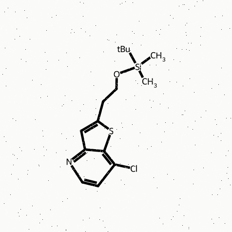 CC(C)(C)[Si](C)(C)OCCc1cc2nccc(Cl)c2s1